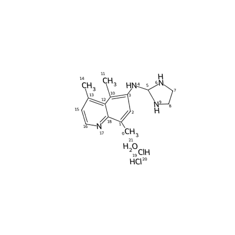 Cc1cc(NC2NCCN2)c(C)c2c(C)ccnc12.Cl.Cl.O